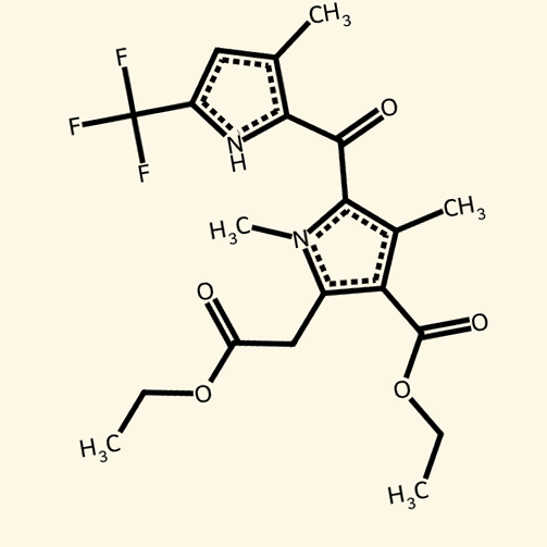 CCOC(=O)Cc1c(C(=O)OCC)c(C)c(C(=O)c2[nH]c(C(F)(F)F)cc2C)n1C